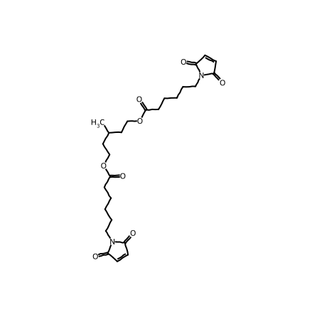 CC(CCOC(=O)CCCCCN1C(=O)C=CC1=O)CCOC(=O)CCCCCN1C(=O)C=CC1=O